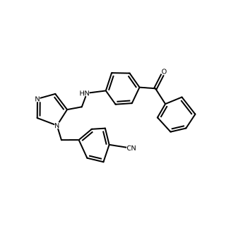 N#Cc1ccc(Cn2cncc2CNc2ccc(C(=O)c3ccccc3)cc2)cc1